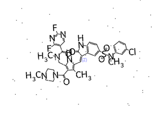 Cc1c(/C=C2\C(=O)Nc3ccc(S(=O)(=O)N(C)c4cccc(Cl)c4)cc32)[nH]c(CN(C)C(=O)c2cnc(F)nc2F)c1C(=O)N1CCN(C)CC1